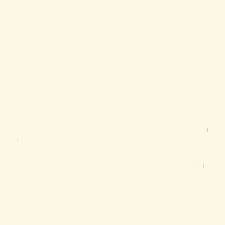 CC(CCCC(C)(C)O)c1cccc(C(Oc2ccc(O)c(O)c2)S(C)(=O)=O)c1